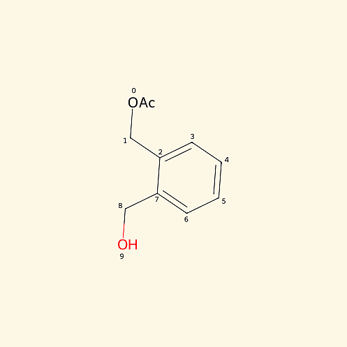 CC(=O)OCc1ccccc1CO